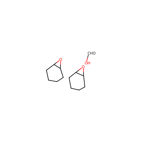 C1CCC2OC2C1.C1CCC2OC2C1.O=CO